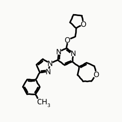 Cc1cccc(-c2ccn(-c3cc(C4=CCOCCC4)nc(OCC4CCCO4)n3)n2)c1